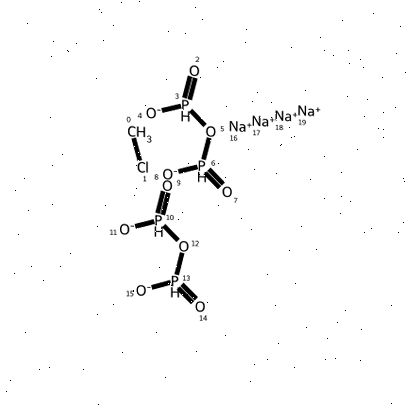 CCl.O=[PH]([O-])O[PH](=O)[O-].O=[PH]([O-])O[PH](=O)[O-].[Na+].[Na+].[Na+].[Na+]